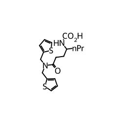 CCCC(CCC(=O)N(Cc1cccs1)Cc1cccs1)NC(=O)O